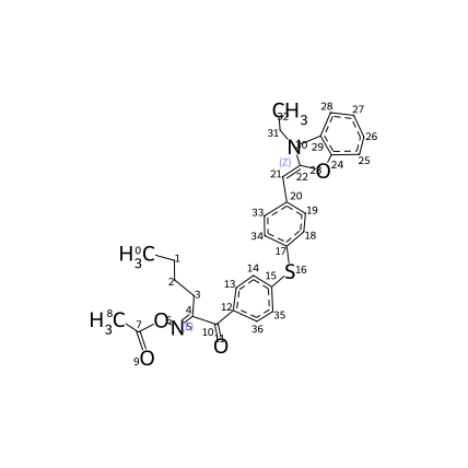 CCCC/C(=N\OC(C)=O)C(=O)c1ccc(Sc2ccc(/C=C3\Oc4ccccc4N3CC)cc2)cc1